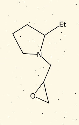 CCC1CCCN1CC1CO1